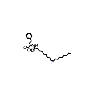 CCCCCCCC/C=C\CCCCCCCC(=O)N[C@H](CCc1ccccc1)C(=O)O